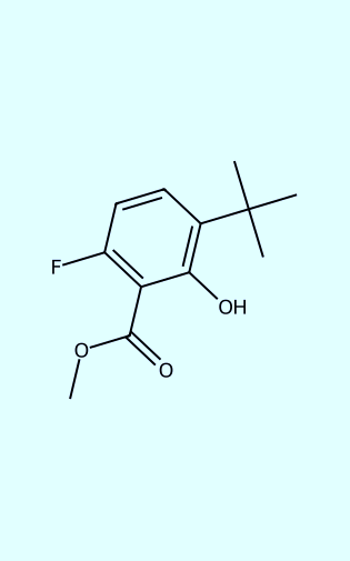 COC(=O)c1c(F)ccc(C(C)(C)C)c1O